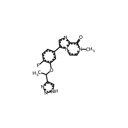 CC(Oc1cc(-c2cnc3c(=O)n(C)ccn23)ccc1F)c1c[nH]nn1